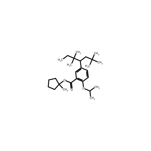 CCC(C)(C)C(CC(C)(C)C)c1ccc(OC(C)C)c(C(=O)OC2(C)CCCC2)c1